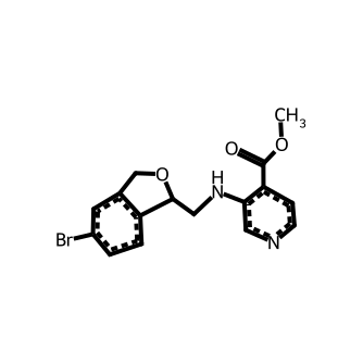 COC(=O)c1ccncc1NCC1OCc2cc(Br)ccc21